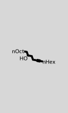 CCCCCCC#CCCC(O)CCCCCCCCC